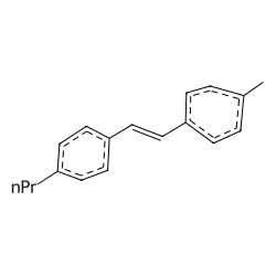 CCCc1ccc(C=Cc2ccc(C)cc2)cc1